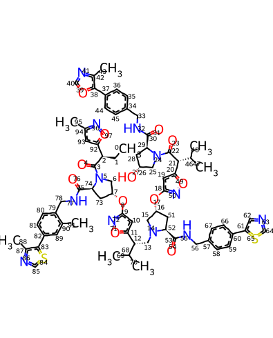 CC[C@@H](C(=O)N1C[C@H](Oc2cc([C@H](CN3C[C@H](Oc4cc([C@H](C(=O)N5C[C@H](O)C[C@H]5C(=O)NCc5ccc(-c6ocnc6C)cc5)C(C)C)on4)C[C@H]3C(=O)NCc3ccc(-c4cncs4)cc3)C(C)C)on2)C[C@H]1C(=O)NCc1ccc(-c2scnc2C)cc1C)c1cc(C)no1